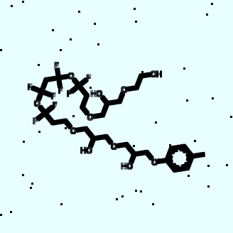 Cc1ccc(OCC(O)COCC(O)COCCC(F)(F)OC(F)(F)CC(F)(F)OC(F)(F)CCOCC(O)COCCO)cc1